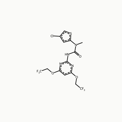 CN(C(=O)Nc1nc(OCC(F)(F)F)cc(OCC(F)(F)F)n1)c1cc(Cl)cs1